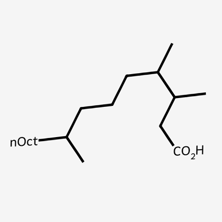 CCCCCCCCC(C)CCCC(C)C(C)CC(=O)O